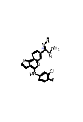 C=N/N=C(\NN)c1ccc2c(c1)nc(Nc1ccc(F)c(Cl)c1)c1ccsc12